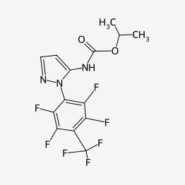 CC(C)OC(=O)Nc1ccnn1-c1c(F)c(F)c(C(F)(F)F)c(F)c1F